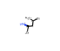 CCC(=N)CC(C)CC